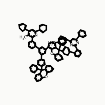 Cc1c(C2=CC=CCC2)cc(C2=CCCC=C2)nc1-c1cccc(-c2cc(-c3ccc(C4(c5ccccc5)c5ccccc5Oc5ccccc54)cc3)cc(-c3cccc4c3Oc3ccccc3C4(C3=CC=C(c4ccccc4-c4nc(-c5ccccc5)cc(-c5ccccc5)n4)CC3)C3C=CC=CC3C)c2)c1